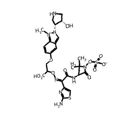 C[n+]1c2ccc(OCC(O/N=C(\C(=O)N[C@@H]3C(=O)N(OS(=O)(=O)[O-])C3(C)C)c3csc(N)n3)C(=O)O)cc2cn1[C@@H]1CNC[C@@H]1O